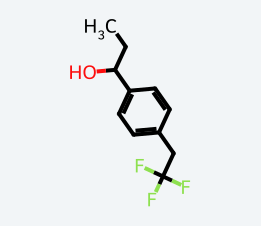 CCC(O)c1ccc(CC(F)(F)F)cc1